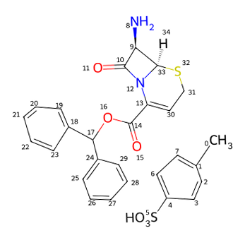 Cc1ccc(S(=O)(=O)O)cc1.N[C@@H]1C(=O)N2C(C(=O)OC(c3ccccc3)c3ccccc3)=CCS[C@H]12